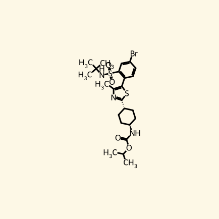 Cc1nc([C@H]2CC[C@H](NC(=O)OC(C)C)CC2)sc1-c1ccc(Br)cc1S(=O)(=O)NC(C)(C)C